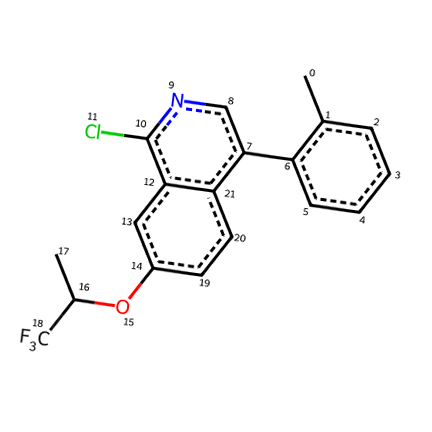 Cc1ccccc1-c1cnc(Cl)c2cc(OC(C)C(F)(F)F)ccc12